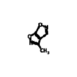 Cc1noc2oncc12